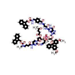 COc1ccc(C(OC[C@@H](OCn2cnc3c(=O)[nH]c(NC(=O)CCNC(=O)c4ccc(CNC(=O)OCC5c6ccccc6-c6ccccc65)cc4)nc32)C(C)OP(=O)(OCCC#N)OC[C@H]2OC(n3ccc(NC(=O)CCCN(C)C(=O)OCC4c5ccccc5-c5ccccc54)nc3=O)CC2OC(=O)CCC(C)=O)(c2ccccc2)c2ccc(OC)cc2)cc1